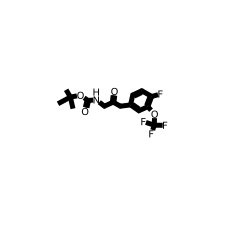 CC(C)(C)OC(=O)NCC(=O)Cc1ccc(F)c(OC(F)(F)F)c1